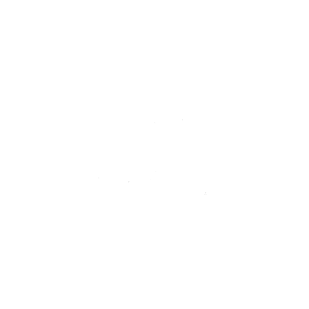 CCC(C)(I)C(=O)OC12CC3CC(OC(C)=O)(CC(OC(C)=O)(C3)C1)C2